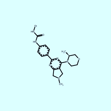 CCNC(=O)Nc1ccc(-c2nc3c(c(N4CCOC[C@@H]4C)n2)CN(C)C3)cc1